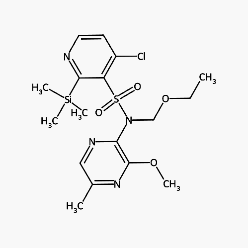 CCOCN(c1ncc(C)nc1OC)S(=O)(=O)c1c(Cl)ccnc1[Si](C)(C)C